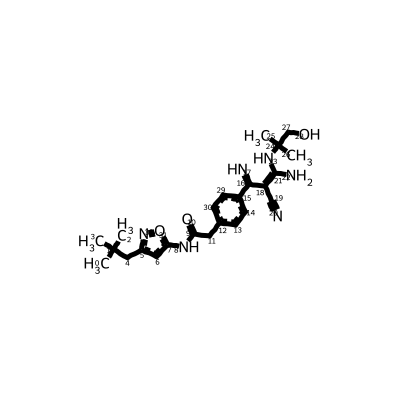 CC(C)(C)Cc1cc(NC(=O)Cc2ccc(C(=N)/C(C#N)=C(/N)NC(C)(C)CO)cc2)on1